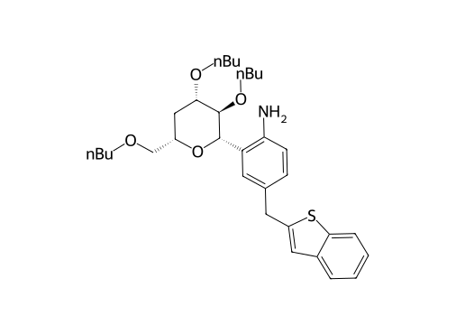 CCCCOC[C@@H]1C[C@H](OCCCC)[C@@H](OCCCC)[C@H](c2cc(Cc3cc4ccccc4s3)ccc2N)O1